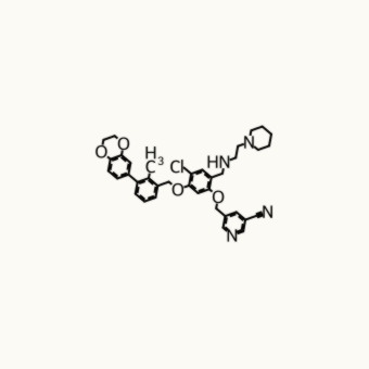 Cc1c(COc2cc(OCc3cncc(C#N)c3)c(CNCCN3CCCCC3)cc2Cl)cccc1-c1ccc2c(c1)OCCO2